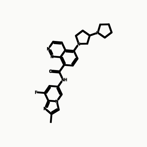 Cc1cn2cc(NC(=O)c3ccc(N4CCC(N5CCCC5)C4)c4ccnnc34)cc(F)c2n1